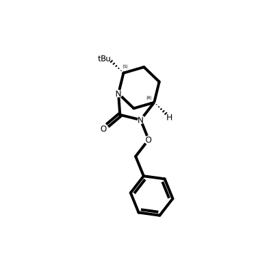 CC(C)(C)[C@@H]1CC[C@@H]2CN1C(=O)N2OCc1ccccc1